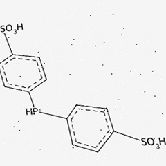 O=S(=O)(O)c1ccc(Pc2ccc(S(=O)(=O)O)cc2)cc1